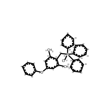 Cc1cc(Oc2ccccc2)cc(C)c1CP(Cl)(c1ccccc1)(c1ccccc1)c1ccccc1